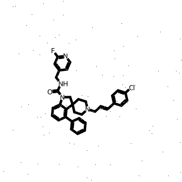 O=C(NCc1ccnc(F)c1)N1CC2(CCN(CC=Cc3ccc(Cl)cc3)CC2)c2c(-c3ccccc3)cccc21